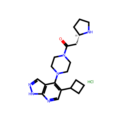 Cl.O=C(C[C@@H]1CCCN1)N1CCN(c2c(C3CCC3)cnc3[nH]ncc23)CC1